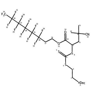 CCCCCCCCCCCCSC(=S)SC(CC(C)(C)C#N)C(=O)OCCC(F)(F)C(F)(F)C(F)(F)C(F)(F)C(F)(F)C(F)(F)F